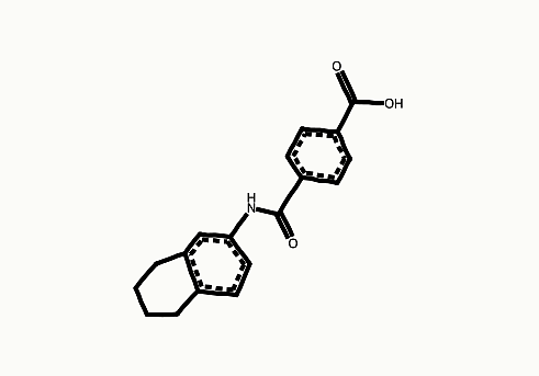 O=C(O)c1ccc(C(=O)Nc2ccc3c(c2)CCCC3)cc1